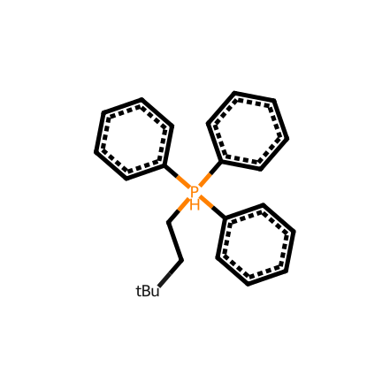 CC(C)(C)CC[PH](c1ccccc1)(c1ccccc1)c1ccccc1